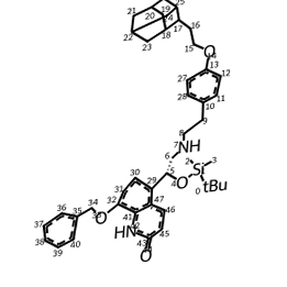 CC(C)(C)[Si](C)(C)O[C@@H](CNCCc1ccc(OCCC2C3CC4CC(C3)CC2C4)cc1)c1ccc(OCc2ccccc2)c2[nH]c(=O)ccc12